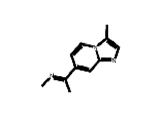 C/N=C(\C)c1ccn2c(C)cnc2c1